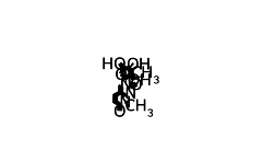 Cn1c(=O)ccc2cn([C@@H]3OC(O)[C@@H](O)[C@@]3(C)O)c(=O)nc21